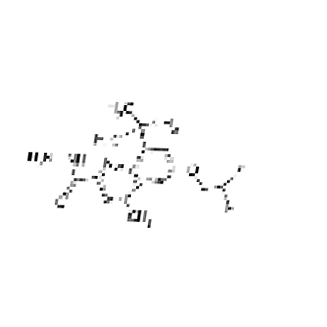 Cc1cc(C(=O)NN)nc2c(C(C)(C)C)cc(OCC(F)F)cc12